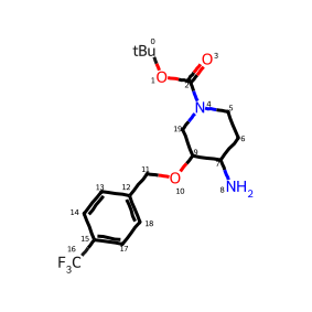 CC(C)(C)OC(=O)N1CCC(N)C(OCc2ccc(C(F)(F)F)cc2)C1